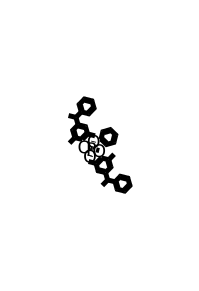 Cc1cc(C(C)c2ccccc2)cc(C)c1OP(=O)(Oc1ccccc1)Oc1c(C)cc(C(C)c2ccccc2)cc1C